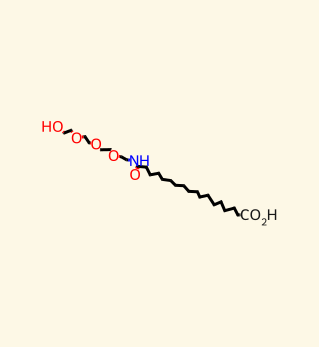 O=C(O)CCCCCCCCCCCCCCCCC(=O)NCCOCCOCCOCCO